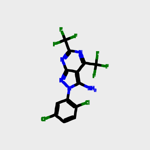 Nc1c2c(C(F)(F)F)nc(C(F)(F)F)nc2nn1-c1cc(Cl)ccc1Cl